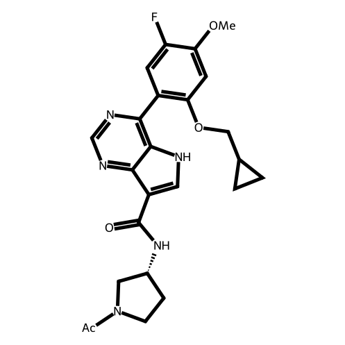 COc1cc(OCC2CC2)c(-c2ncnc3c(C(=O)N[C@@H]4CCN(C(C)=O)C4)c[nH]c23)cc1F